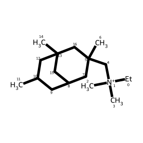 CC[N+](C)(C)CC1(C)CC2CC(C)CC(C)(C2)C1